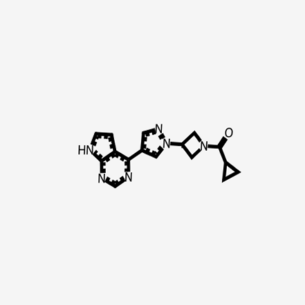 O=C(C1CC1)N1C[C](n2cc(-c3ncnc4[nH]ccc34)cn2)C1